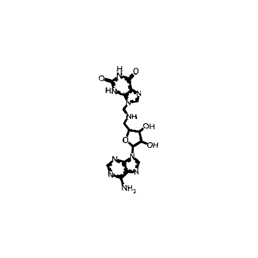 Nc1ncnc2c1ncn2C1OC(CNCn2cnc3c(=O)[nH]c(=O)[nH]c32)C(O)C1O